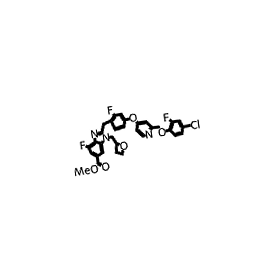 COC(=O)c1cc(F)c2nc(Cc3ccc(Oc4ccnc(COc5ccc(Cl)cc5F)c4)cc3F)n(CC3CCO3)c2c1